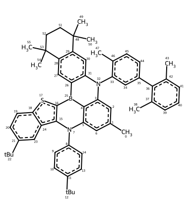 Cc1cc2c3c(c1)N(c1ccc(C(C)(C)C)cc1)c1c(sc4ccc(C(C)(C)C)cc14)B3c1cc3c(cc1N2c1cc(-c2c(C)cccc2C)ccc1C)C(C)(C)CCC3(C)C